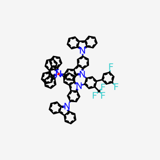 Fc1cc(F)cc(-c2cc(-n3c4ccc(-n5c6ccccc6c6ccccc65)cc4c4cc(-n5c6ccccc6c6ccccc65)ccc43)c(-n3c4ccc(-n5c6ccccc6c6ccccc65)cc4c4cc(-n5c6ccccc6c6ccccc65)ccc43)cc2C(F)(F)F)c1